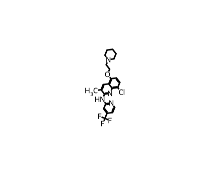 Cc1cc2c(OCCN3CCCCC3)ccc(Cl)c2nc1Nc1cc(C(F)(F)F)ccn1